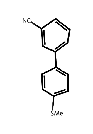 CSc1ccc(-c2cccc(C#N)c2)cc1